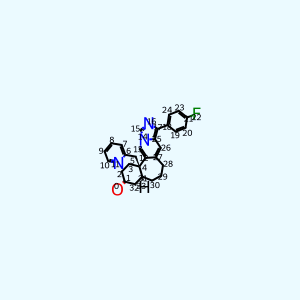 O=C1CC[C@]2(Cc3ccccn3)c3cn4cnc(-c5ccc(F)cc5)c4cc3CCC[C@@H]2C1